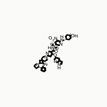 CC(C)c1ccccc1[C@H]1CCCN1C1CC2(CCN(c3cc(Oc4cnc5[nH]ccc5c4)c(C(=O)NS(=O)(=O)c4cnc(NC[C@H]5CC[C@](C)(O)CC5)c([N+](=O)[O-])c4)cn3)CC2)C1